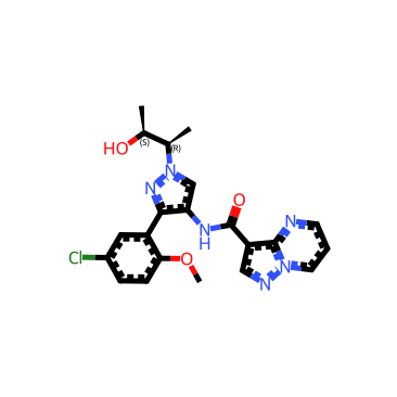 COc1ccc(Cl)cc1-c1nn([C@H](C)[C@H](C)O)cc1NC(=O)c1cnn2cccnc12